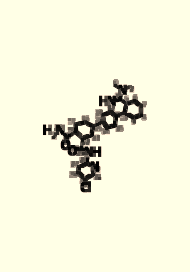 CN(C)C(=N)c1ccccc1-c1ccc(-c2ccc(C(N)=O)c(C(=O)Nc3ccc(Cl)cn3)c2)cc1